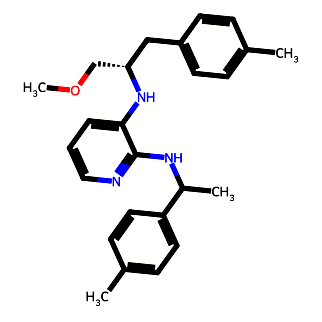 COC[C@H](Cc1ccc(C)cc1)Nc1cccnc1NC(C)c1ccc(C)cc1